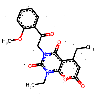 CCc1cc(=O)oc2c1c(=O)n(CC(=O)c1ccccc1OC)c(=O)n2CC